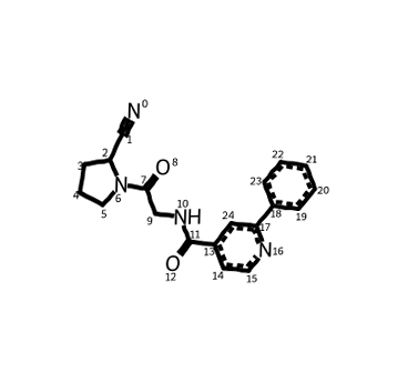 N#CC1CCCN1C(=O)CNC(=O)c1ccnc(-c2ccccc2)c1